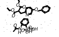 CC(=O)Nc1ccccc1[As](=O)(O)OO.CCOC(=O)C(Cc1ccc(OCc2ccccc2)cn1)C(=O)OCC